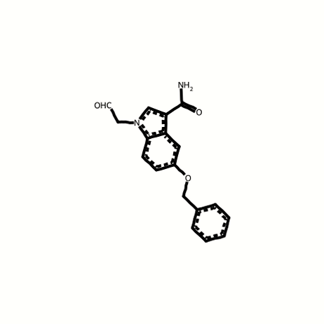 NC(=O)c1cn(CC=O)c2ccc(OCc3ccccc3)cc12